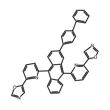 c1ccc(-c2ccc(-c3ccc4c(-c5cccc(-c6cnco6)n5)c5ccccc5c(-c5cccc(-c6cnco6)n5)c4c3)cc2)cc1